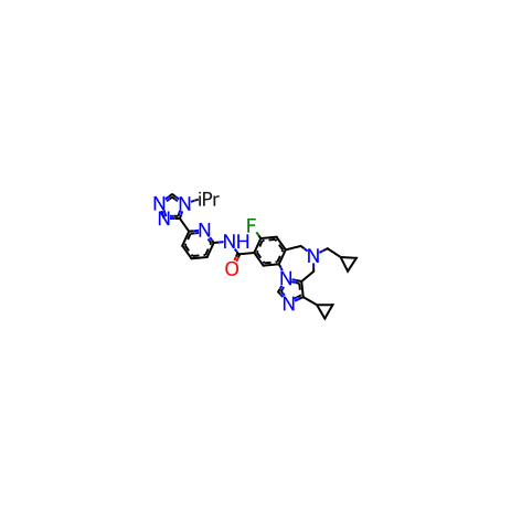 CC(C)n1cnnc1-c1cccc(NC(=O)c2cc3c(cc2F)CN(CC2CC2)Cc2c(C4CC4)ncn2-3)n1